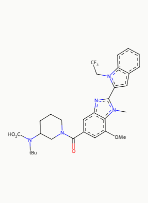 COc1cc(C(=O)N2CCCC(N(C(=O)O)C(C)(C)C)C2)cc2nc(-c3cc4ccccc4n3CC(F)(F)F)n(C)c12